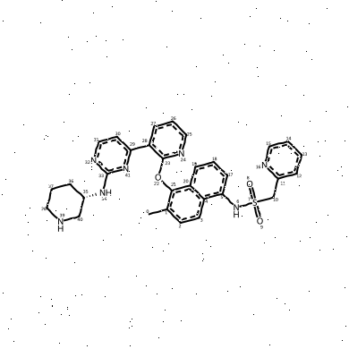 Cc1ccc2c(NS(=O)(=O)Cc3ccccn3)cccc2c1Oc1ncccc1-c1ccnc(N[C@H]2CCCNC2)n1